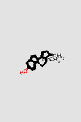 C=C1CC=C2c3ccc4cc(O)ccc4c3CC[C@]12C